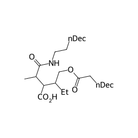 CCCCCCCCCCCCNC(=O)C(C)C(C(=O)O)C(CC)COC(=O)CCCCCCCCCCC